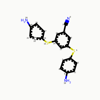 N#Cc1cc(Sc2ccc(N)cc2)cc(Sc2ccc(N)cc2)c1